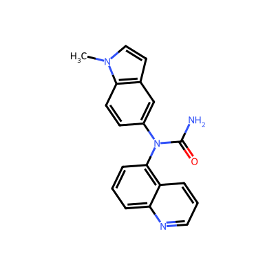 Cn1ccc2cc(N(C(N)=O)c3cccc4ncccc34)ccc21